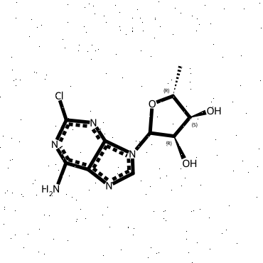 C[C@H]1OC(n2cnc3c(N)nc(Cl)nc32)[C@H](O)[C@@H]1O